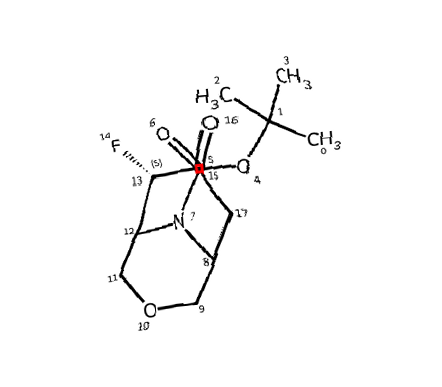 CC(C)(C)OC(=O)N1C2COCC1[C@H](F)C(=O)C2